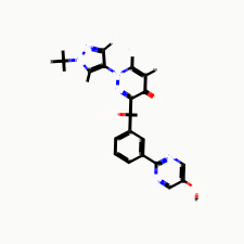 [2H]c1nn(C([2H])([2H])[2H])c([2H])c1-n1nc(C([2H])(O)c2cccc(-c3ncc(OCC)cn3)c2)c(=O)c([2H])c1[2H]